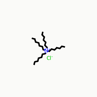 CCCCCCC[N+](CCCCCCC)(CCCCCCC)CCCCCCC.[Cl-]